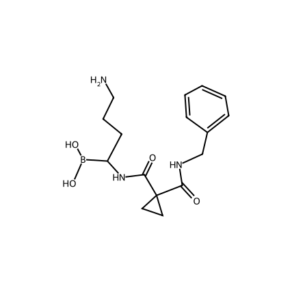 NCCCC(NC(=O)C1(C(=O)NCc2ccccc2)CC1)B(O)O